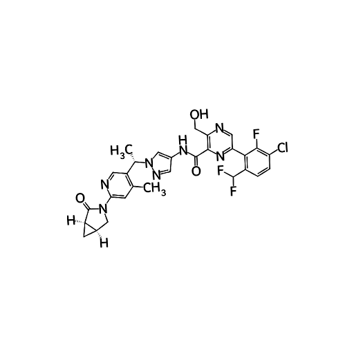 Cc1cc(N2C[C@H]3C[C@H]3C2=O)ncc1[C@H](C)n1cc(NC(=O)c2nc(-c3c(C(F)F)ccc(Cl)c3F)cnc2CO)cn1